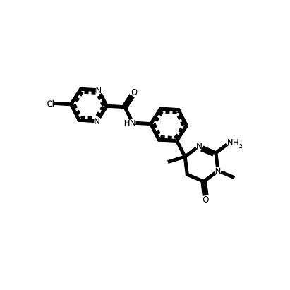 CN1C(=O)CC(C)(c2cccc(NC(=O)c3ncc(Cl)cn3)c2)N=C1N